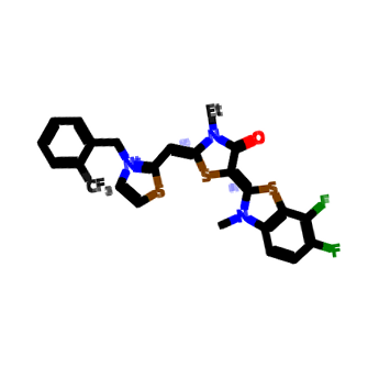 CCn1c(=O)/c(=C2\Sc3c(ccc(F)c3F)N2C)s/c1=C\c1scc[n+]1Cc1ccccc1C(F)(F)F